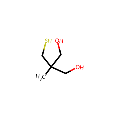 CC(CO)(CO)CS